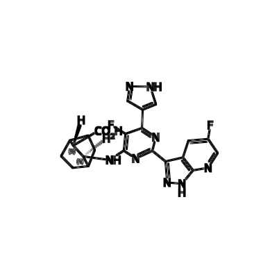 O=C(O)[C@H]1C2CCC(CC2)[C@@H]1Nc1nc(-c2n[nH]c3ncc(F)cc23)nc(-c2cn[nH]c2)c1F